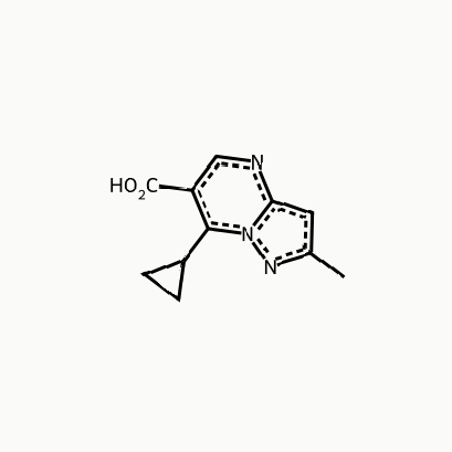 Cc1cc2ncc(C(=O)O)c(C3CC3)n2n1